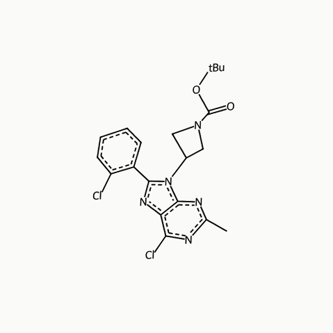 Cc1nc(Cl)c2nc(-c3ccccc3Cl)n(C3CN(C(=O)OC(C)(C)C)C3)c2n1